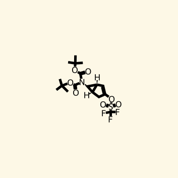 CC(C)(C)OC(=O)N(C(=O)OC(C)(C)C)[C@@H]1[C@H]2C=C(OS(=O)(=O)C(F)(F)F)C[C@H]21